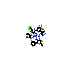 O=C(Nc1ccnnc1)N(Cc1ccc(C(F)(F)F)nc1-c1cccc(F)c1)N(Cc1ccc(C(F)(F)F)nc1-c1ccc(F)c(Cl)c1)C(=O)Nc1ccnnc1